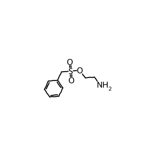 NCCOS(=O)(=O)Cc1ccccc1